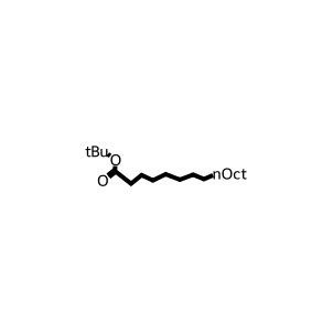 CCCCCCCCCCCCCCCC(=O)OC(C)(C)C